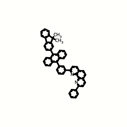 CC1(C)c2ccccc2-c2ccc(-c3c4ccccc4c(-c4cccc(-c5ccc6ccc7ccc(-c8ccccc8)nc7c6n5)c4)c4ccccc34)cc21